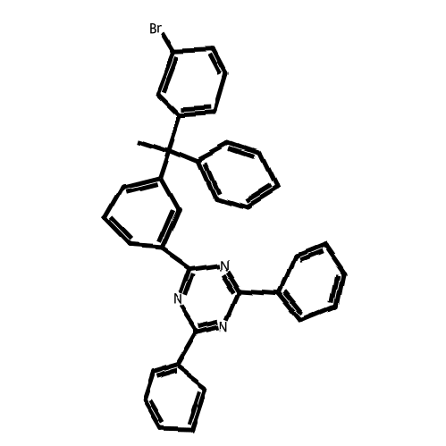 CC(c1ccccc1)(c1cccc(Br)c1)c1cccc(-c2nc(-c3ccccc3)nc(-c3ccccc3)n2)c1